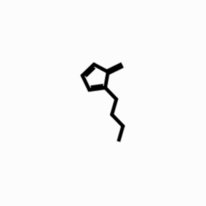 C=C1C=CC=C1CCCC